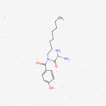 CCCCCCCCN(C(=O)c1ccc(O)cc1)C(=O)C(N)N